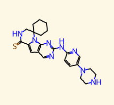 S=C1NCC2(CCCCC2)n2c1cc1cnc(Nc3ccc(N4CCNCC4)cn3)nc12